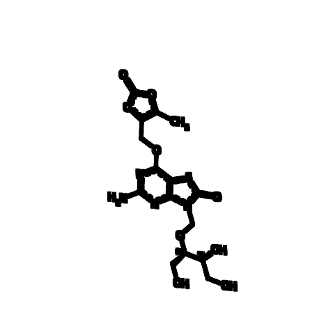 Cc1oc(=O)oc1COc1nc(N)nc2c1sc(=O)n2CO[C@H](CO)[C@@H](O)CO